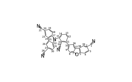 N#Cc1ccc2oc3ccc(-c4cccc(-n5c6ccc(C#N)cc6c6cc(C#N)ccc65)c4C#N)cc3c2c1